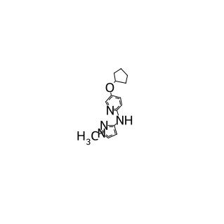 Cn1ccc(Nc2ccc(OC3CCCC3)cn2)n1